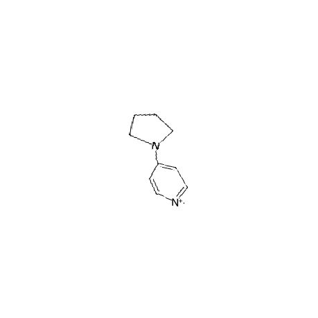 C1=CC(N2CCCC2)=CC=[N+]1